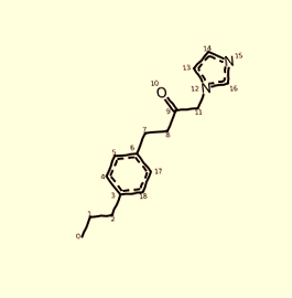 CCCc1ccc(CCC(=O)Cn2ccnc2)cc1